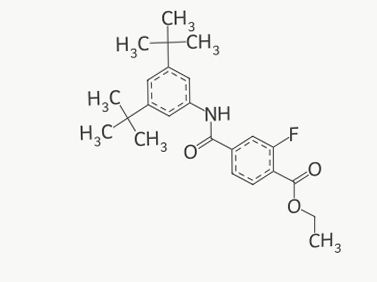 CCOC(=O)c1ccc(C(=O)Nc2cc(C(C)(C)C)cc(C(C)(C)C)c2)cc1F